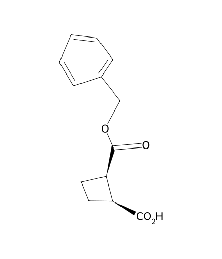 O=C(O)[C@H]1CC[C@H]1C(=O)OCc1ccccc1